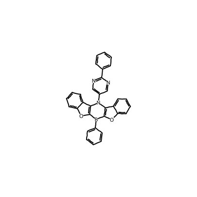 c1ccc(B2c3oc4ccccc4c3N(c3cnc(-c4ccccc4)nc3)c3c2oc2ccccc32)cc1